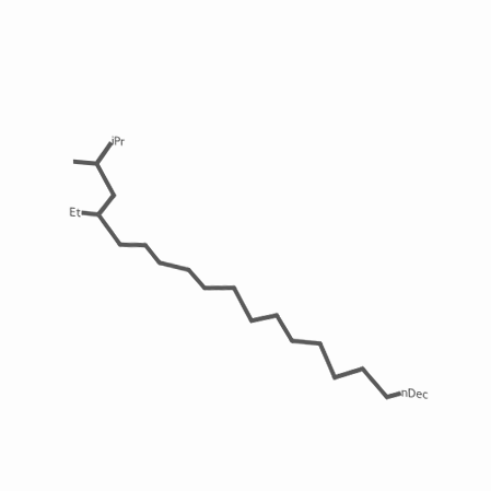 CCCCCCCCCCCCCCCCCCCCCCCC(CC)CC(C)C(C)C